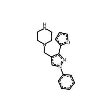 c1ccc(-n2cc(CN3CCNCC3)c(-c3ccco3)n2)cc1